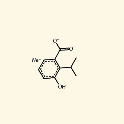 CC(C)c1c(O)cccc1C(=O)[O-].[Na+]